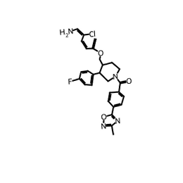 C=C(/C=C\C(Cl)=C/N)OCC1CCN(C(=O)c2ccc(-c3nc(C)no3)cc2)CC1c1ccc(F)cc1